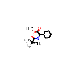 COC(=O)[C@@H](NC(=O)C(C)(C)C)C1CCCCC1